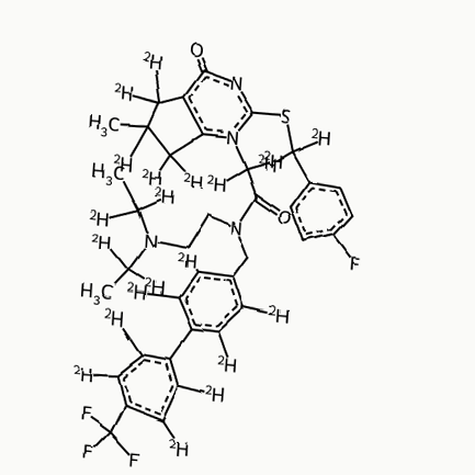 [2H]c1c([2H])c(-c2c([2H])c([2H])c(C(F)(F)F)c([2H])c2[2H])c([2H])c([2H])c1CN(CCN(C([2H])([2H])C)C([2H])([2H])C)C(=O)C([2H])([2H])n1c(SC([2H])([2H])c2ccc(F)cc2)nc(=O)c2c1C([2H])([2H])C([2H])(C)C2([2H])[2H]